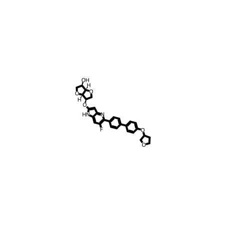 O[C@@H]1CO[C@H]2[C@@H]1OC[C@H]2Oc1cc2nc(-c3ccc(-c4ccc(OC5CCOC5)cc4)cc3)c(F)cc2[nH]1